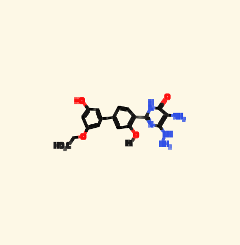 CCOc1cc(-c2cc(O)cc(OCC(=O)O)c2)ccc1-c1nc(NN)c(N)c(=O)[nH]1